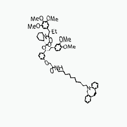 CC[C@H](C(=O)N1CCCC[C@H]1C(=O)O[C@H](CCc1ccc(OC)c(OC)c1)c1cccc(OCC(=O)NCCCCCCCCCCN2Cc3ccccc3C#Cc3ccccc32)c1)c1cc(OC)c(OC)c(OC)c1